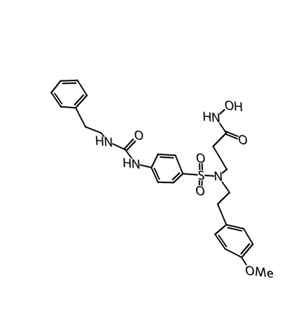 COc1ccc(CCN(CCC(=O)NO)S(=O)(=O)c2ccc(NC(=O)NCCc3ccccc3)cc2)cc1